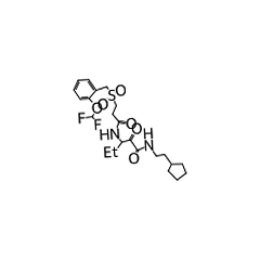 CCC(NC(=O)CCS(=O)(=O)Cc1ccccc1OC(F)F)C(=O)C(=O)NCCC1CCCC1